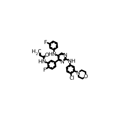 C=CC(=O)Nc1cc(-c2nc(Nc3ccc(Cl)c(N4CCOCC4)c3)ncc2Nc2cccc(F)c2)ccc1F